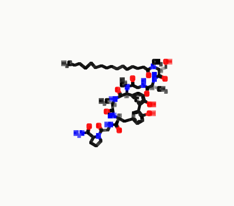 CCCCCCCCCCCCCCCC(=O)N(C)[C@H](CO)C(=O)N[C@H](C)C(=O)NCC(=O)N(C)[C@@H]1C(=O)N[C@@H](C)C(=O)N[C@H](C(=O)NCC(=O)N2CCCC2C(N)=O)Cc2ccc(O)c(c2)-c2cc1ccc2O